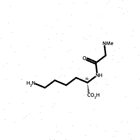 CNCC(=O)N[C@@H](CCCCN)C(=O)O